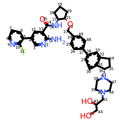 Nc1ncc(-c2cccnc2F)cc1C(=O)N[C@H]1CCC[C@@H]1OCc1ccc(-c2ccc3c(c2)CC[C@@H]3N2CCN(CC(O)CO)CC2)cc1